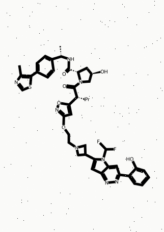 Cc1ncsc1-c1ccc([C@H](C)NC(=O)[C@@H]2C[C@@H](O)CN2C(=O)[C@@H](c2cc(OCCN3CC(c4cc5nnc(-c6ccccc6O)cc5n4C(F)F)C3)no2)C(C)C)cc1